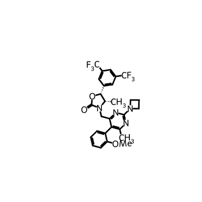 COc1ccccc1-c1c(C)nc(N2CCC2)nc1CN1C(=O)O[C@H](c2cc(C(F)(F)F)cc(C(F)(F)F)c2)[C@@H]1C